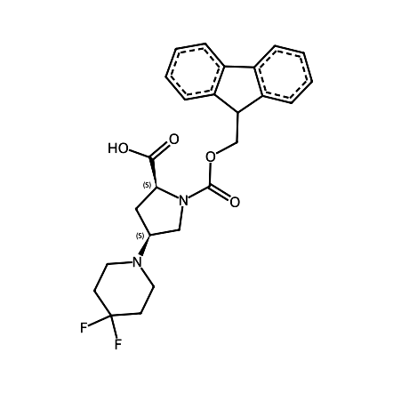 O=C(O)[C@@H]1C[C@H](N2CCC(F)(F)CC2)CN1C(=O)OCC1c2ccccc2-c2ccccc21